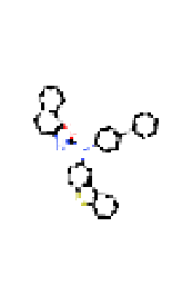 c1ccc(-c2ccc(N(c3ccc4sc5ccccc5c4c3)c3nc4ccc5ccccc5c4o3)cc2)cc1